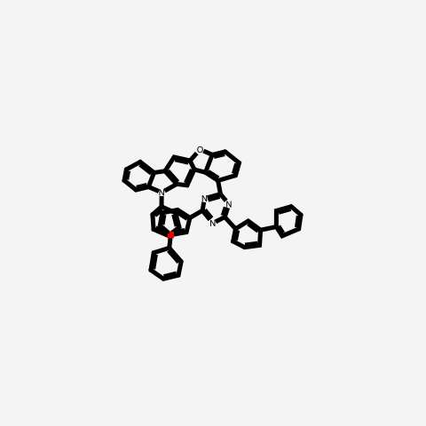 c1ccc(-c2cccc(-c3nc(-c4cccc(-c5ccccc5)c4)nc(-c4cccc5oc6cc7c8ccccc8n(-c8ccccc8)c7cc6c45)n3)c2)cc1